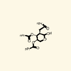 CCCC(=O)C[C@H]1C(O)OC[C@@H](OC(=O)CCC)[C@@H]1OC(=O)CCC